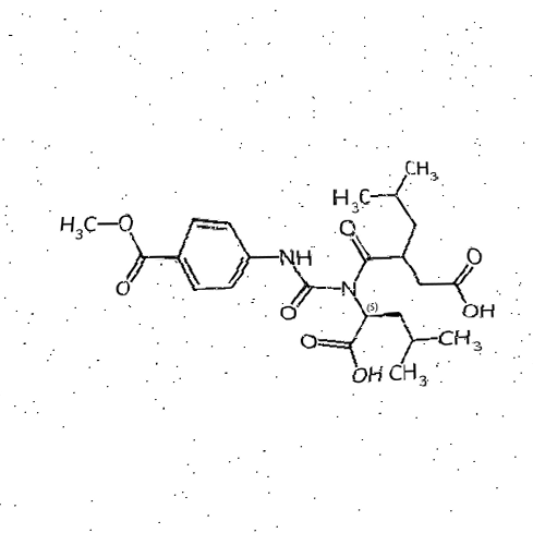 COC(=O)c1ccc(NC(=O)N(C(=O)C(CC(=O)O)CC(C)C)[C@@H](CC(C)C)C(=O)O)cc1